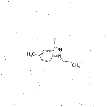 CCCn1nc(I)c2cc(C)ccc21